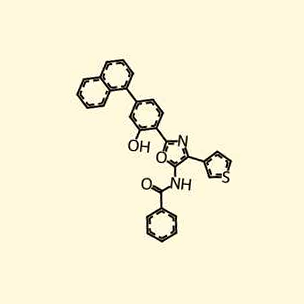 O=C(Nc1oc(-c2ccc(-c3cccc4ccccc34)cc2O)nc1-c1ccsc1)c1ccccc1